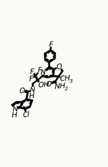 C[C@]1(C(N)=O)COc2c1cc(C(O)(CNC(=O)c1ccc(Cl)c3[nH]ccc13)C(F)(F)F)nc2-c1ccc(F)cc1